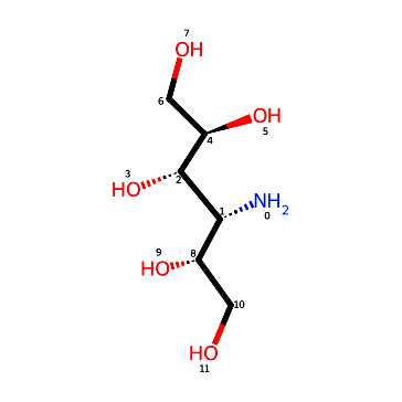 N[C@@H]([C@H](O)[C@H](O)CO)[C@@H](O)CO